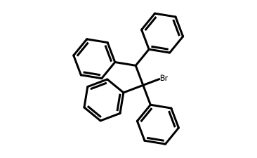 BrC(c1ccccc1)(c1ccccc1)C(c1ccccc1)c1ccccc1